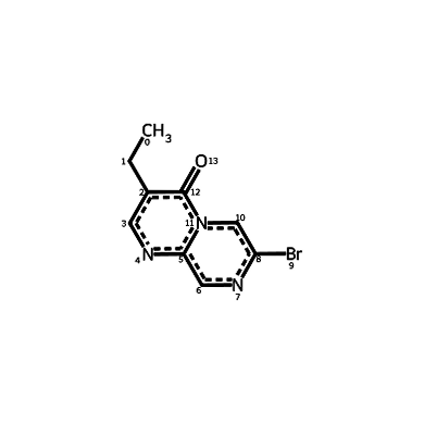 CCc1cnc2cnc(Br)cn2c1=O